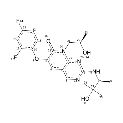 C[C@H](Nc1ncc2cc(Oc3ccc(F)cc3F)c(=O)n(C[C@@H](C)O)c2n1)C(C)(C)O